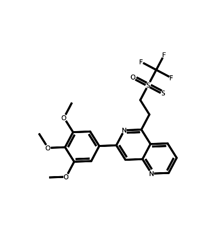 COc1cc(-c2cc3ncccc3c(CCS(=O)(=S)C(F)(F)F)n2)cc(OC)c1OC